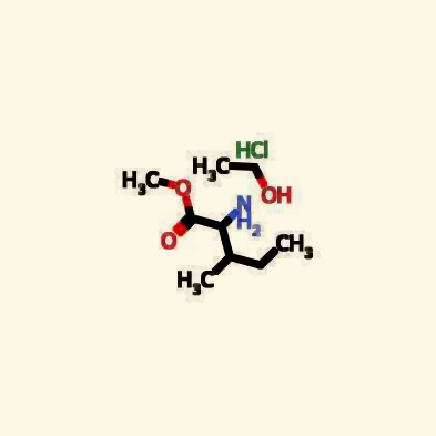 CCC(C)C(N)C(=O)OC.CCO.Cl